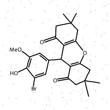 COc1cc(C2C3=C(CC(C)(C)CC3=O)OC3=C2C(=O)CC(C)(C)C3)cc(Br)c1O